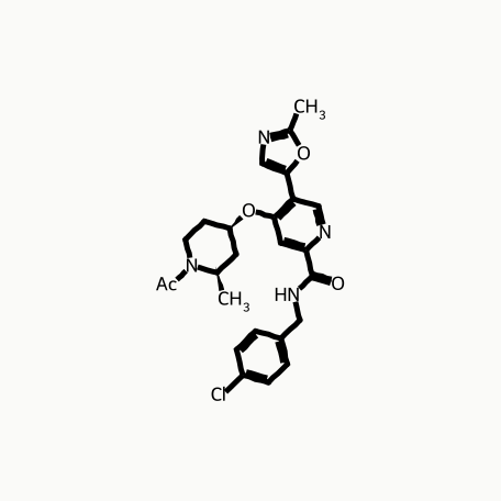 CC(=O)N1CC[C@@H](Oc2cc(C(=O)NCc3ccc(Cl)cc3)ncc2-c2cnc(C)o2)C[C@H]1C